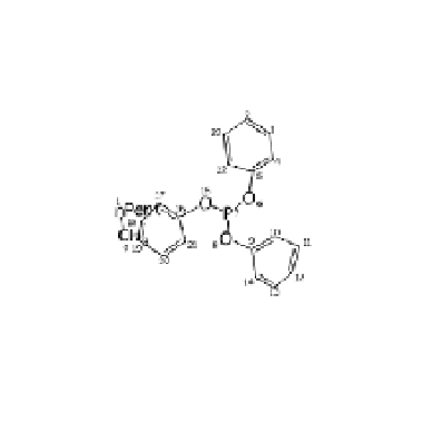 CCCCCC.c1ccc(OP(Oc2ccccc2)Oc2ccccc2)cc1